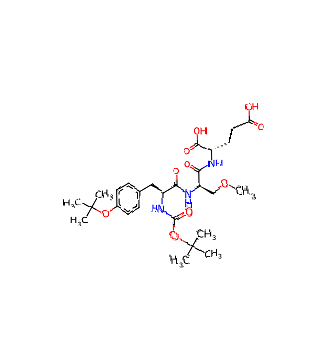 COC[C@@H](NC(=O)[C@H](Cc1ccc(OC(C)(C)C)cc1)NC(=O)OC(C)(C)C)C(=O)N[C@@H](CCC(=O)O)C(=O)O